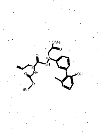 C=CC[C@H](NC(=O)OC(C)(C)C)C(=O)N[C@@H](CC(=O)OC)c1cccc(-c2c(C)cccc2O)c1